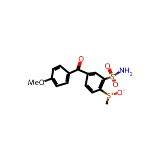 COc1ccc(C(=O)c2ccc([S+](C)[O-])c(S(N)(=O)=O)c2)cc1